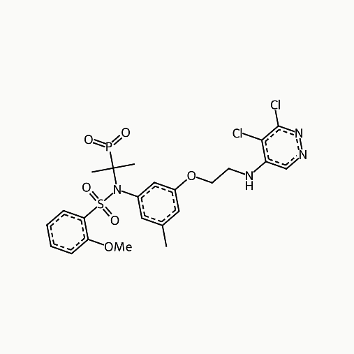 COc1ccccc1S(=O)(=O)N(c1cc(C)cc(OCCNc2cnnc(Cl)c2Cl)c1)C(C)(C)P(=O)=O